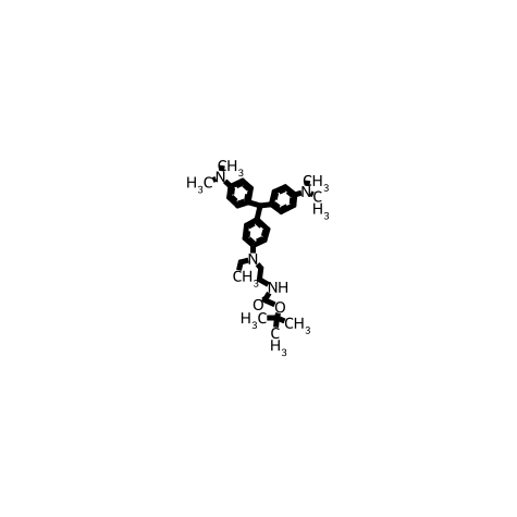 CCN(CCNC(=O)OC(C)(C)C)c1ccc(C(c2ccc(N(C)C)cc2)c2ccc(N(C)C)cc2)cc1